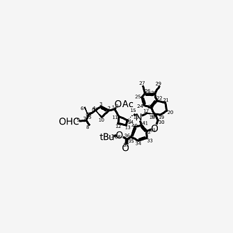 CC(=O)OC(C1=C[C@H]([C@H](C)C(C)C=O)C1)C1CC[C@H]1CN1C[C@@]2(CCCc3c2ccc(C)c3C)COc2ccc(C(=O)OC(C)(C)C)cc21